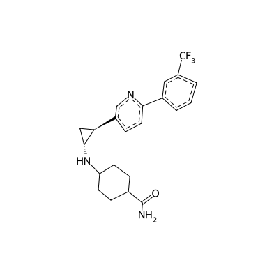 NC(=O)C1CCC(N[C@@H]2C[C@H]2c2ccc(-c3cccc(C(F)(F)F)c3)nc2)CC1